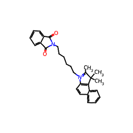 CC1=[N+](CCCCCCN2C(=O)c3ccccc3C2=O)c2ccc3ccccc3c2C1(C)C